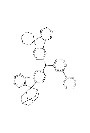 c1ccc(-c2cccc(N(c3ccc4c(c3)-c3ccccc3C43CCCCC3)c3ccc4c(c3)-c3ccccc3C43C4CC5CC(C4)CC3C5)c2)cc1